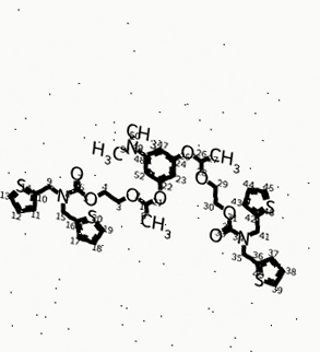 CC(OCCOC(=O)N(Cc1cccs1)Cc1cccs1)Oc1cc(OC(C)OCCOC(=O)N(Cc2cccs2)Cc2cccs2)cc(N(C)C)c1